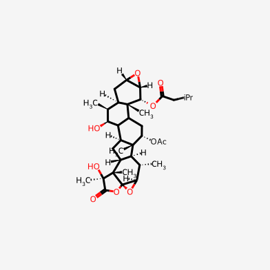 CC(=O)O[C@H]1CC2C([C@@H](O)[C@@H](C)[C@H]3C[C@@H]4O[C@@H]4[C@H](OC(=O)CC(C)C)[C@]23C)[C@@H]2C[C@@H]3[C@H]([C@H](C)[C@H]4O[C@]45OC(=O)[C@@](C)(O)[C@]35C)[C@@]12C